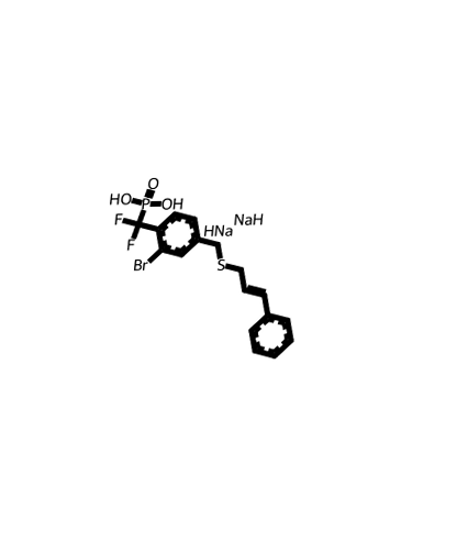 O=P(O)(O)C(F)(F)c1ccc(CSC/C=C/c2ccccc2)cc1Br.[NaH].[NaH]